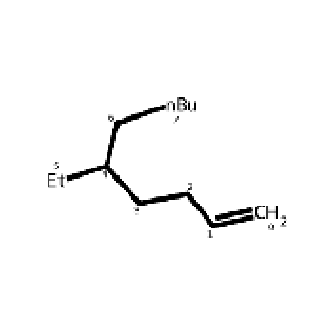 C=CCCC(CC)CCCCC